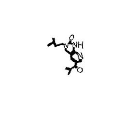 CC(C)CCN1Cc2cc(C(=O)C(C)C)cnc2NC1=O